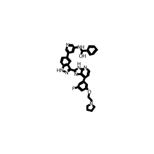 OC(Nc1cncc(-c2ccc3[nH]nc(-c4nc5c(-c6cc(F)cc(OCCN7CCCC7)c6)ccnc5[nH]4)c3c2)c1)c1ccccc1